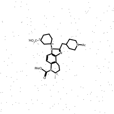 COC(=O)N1c2ccc3c(nc(CC4CCN(C(C)=O)CC4)n3[C@@H]3CCC[C@@H](C(=O)O)C3)c2CC[C@@H]1C